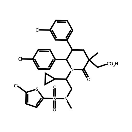 CN(CC(C1CC1)N1C(=O)C(C)(CC(=O)O)CC(c2cccc(Cl)c2)C1c1ccc(Cl)cc1)S(=O)(=O)c1ccc(Cl)s1